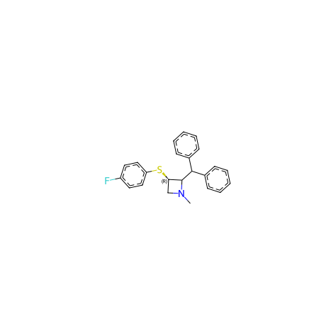 CN1C[C@@H](Sc2ccc(F)cc2)C1C(c1ccccc1)c1ccccc1